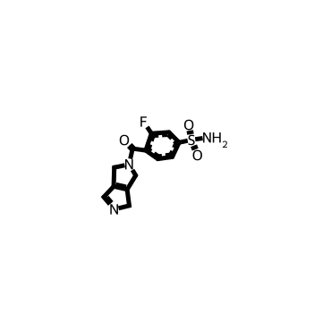 NS(=O)(=O)c1ccc(C(=O)N2CC3=C(CN=C3)C2)c(F)c1